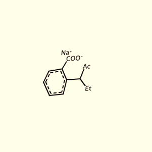 CCC(C(C)=O)c1ccccc1C(=O)[O-].[Na+]